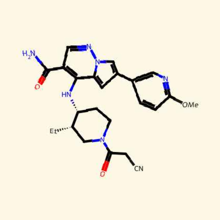 CC[C@H]1CN(C(=O)CC#N)CC[C@H]1Nc1c(C(N)=O)cnn2cc(-c3ccc(OC)nc3)cc12